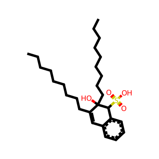 CCCCCCCCCC1=Cc2ccccc2C(S(=O)(=O)O)C1(O)CCCCCCCCC